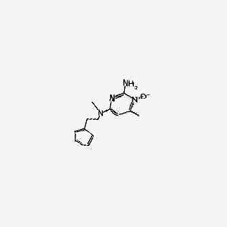 Cc1cc(N(C)CCc2ccccc2)nc(N)[n+]1[O-]